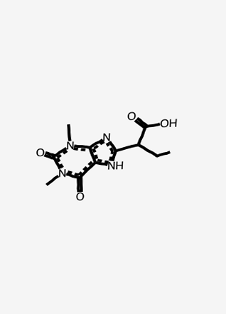 CCC(C(=O)O)c1nc2c([nH]1)c(=O)n(C)c(=O)n2C